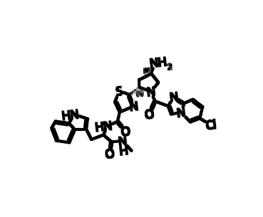 CNC(=O)C(Cc1c[nH]c2ccccc12)NC(=O)c1csc([C@@H]2C[C@@H](N)CN2C(=O)c2cn3cc(Cl)ccc3n2)n1